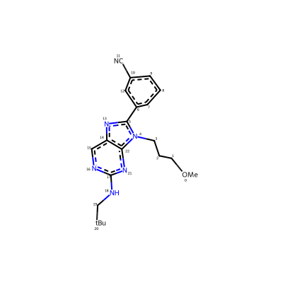 COCCCn1c(-c2cccc(C#N)c2)nc2cnc(NCC(C)(C)C)nc21